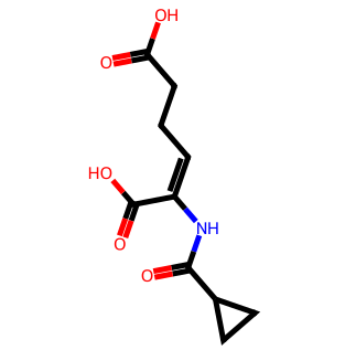 O=C(O)CCC=C(NC(=O)C1CC1)C(=O)O